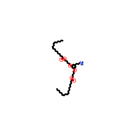 CCCCC/C=C\C/C=C\CCCCCCCC(=O)OCCCCOc1cc(CCCN(C)C)cc(OCCCCOC(=O)CCCCCCC/C=C\C/C=C\CCCCC)c1